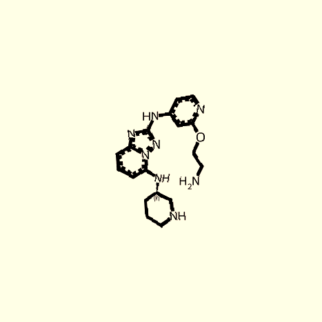 NCCOc1cc(Nc2nc3cccc(N[C@@H]4CCCNC4)n3n2)ccn1